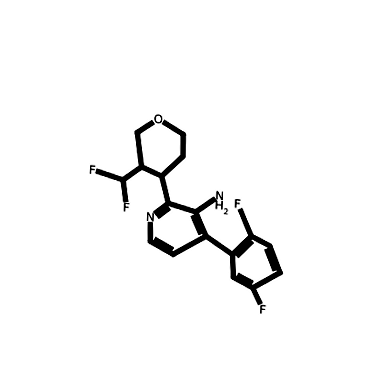 Nc1c(-c2cc(F)ccc2F)ccnc1C1CCOCC1C(F)F